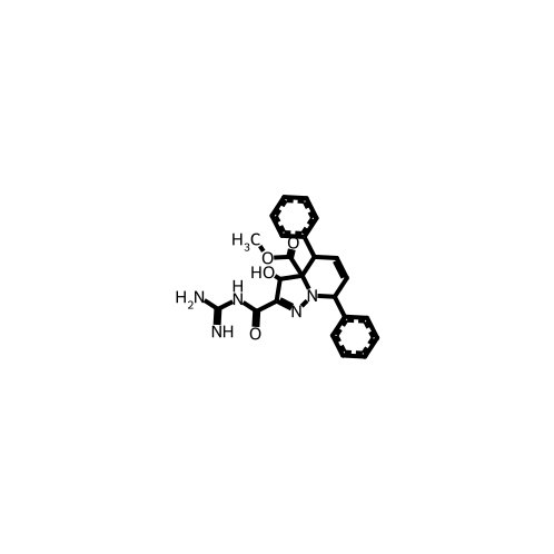 COC(=O)C12C(O)C(C(=O)NC(=N)N)=NN1C(c1ccccc1)C=CC2c1ccccc1